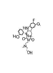 COc1cc2c(cc1F)NC1C2C[C@@]2(C)C(=O)N(CCN(C)CCO)C(=O)N2[C@@H]1c1cccc(O)c1